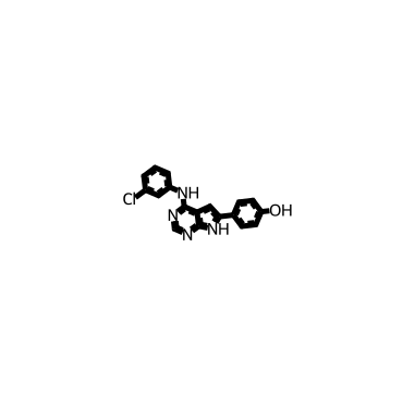 Oc1ccc(-c2cc3c(Nc4cccc(Cl)c4)ncnc3[nH]2)cc1